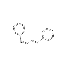 C(/C=C/c1ccccc1)=N/c1ccccc1